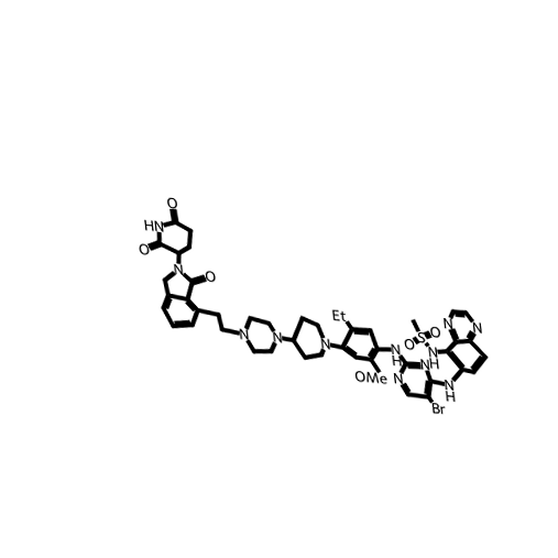 CCc1cc(Nc2ncc(Br)c(Nc3ccc4nccnc4c3NS(C)(=O)=O)n2)c(OC)cc1N1CCC(N2CCN(CCc3cccc4c3C(=O)N(C3CCC(=O)NC3=O)C4)CC2)CC1